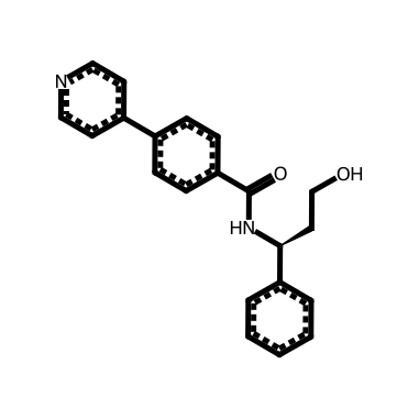 O=C(N[C@@H](CCO)c1ccccc1)c1ccc(-c2ccncc2)cc1